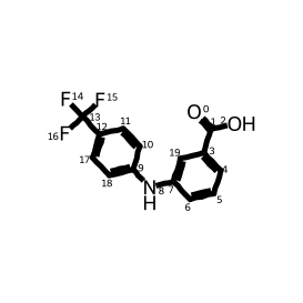 O=C(O)c1cccc(Nc2ccc(C(F)(F)F)cc2)c1